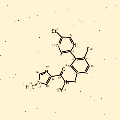 CCc1cnc(-c2cc(CN(C(=O)c3cn(C)cn3)C(C)C)ccc2F)cn1